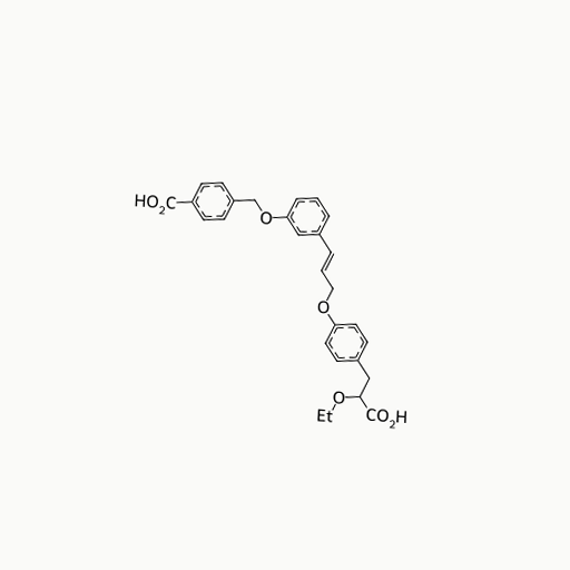 CCOC(Cc1ccc(OC/C=C/c2cccc(OCc3ccc(C(=O)O)cc3)c2)cc1)C(=O)O